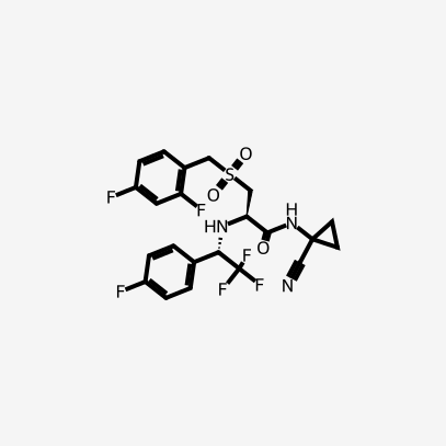 N#CC1(NC(=O)[C@H](CS(=O)(=O)Cc2ccc(F)cc2F)N[C@@H](c2ccc(F)cc2)C(F)(F)F)CC1